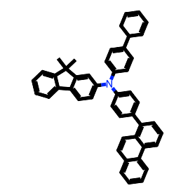 CC1(C)c2ccccc2-c2ccc(N(c3ccc(-c4cccc5c4ccc4ccccc45)cc3)c3ccc(C4C=CC=CC4)cc3)cc21